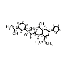 CC(C)c1cc(-c2cccs2)cc(C(C)C)c1NC(=O)NS(=O)(=O)c1cccc(C(C)O)c1